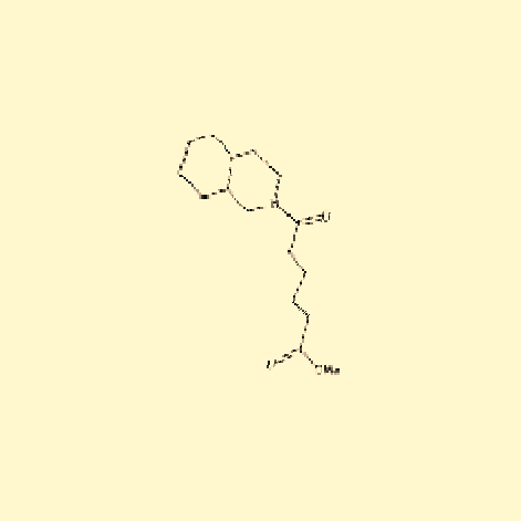 COC(=O)CCCCC(=O)N1CCC2CCCCC2C1